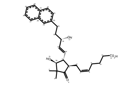 CC1(C)C(=O)[C@H](C/C=C\CCCC(=O)O)[C@@H](/C=C/[C@@H](O)CCc2ccc3ccccc3c2)[C@@H]1O